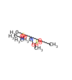 CCCCCCCCCC(=O)OC(CCCCCC(CCCCCC(CSCCCCCC)OC(=O)CN(C)C(=O)CCCCC)N(C)CCCCO)CSCCCCCC